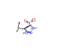 CC(C)c1nnn(C)c1[N+](=O)[O-]